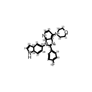 Fc1ccc(-c2nc3c(N4CCOCC4)ccnc3n2C2=CC3C=CNC3C=C2)cc1